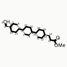 C=C[C@H]1CC[C@H]([C@H]2CC[C@H]([C@H]3CC[C@H](CCC(=O)OC)CC3)CC2)CC1